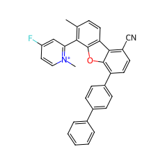 Cc1ccc2c(oc3c(-c4ccc(-c5ccccc5)cc4)ccc(C#N)c32)c1-c1cc(F)cc[n+]1C